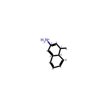 CC1C=C(N)C=C2C=CC=CC21